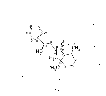 CC1CCCC(C)(C)C1C(=O)NC[C@@H](O)c1ccccc1